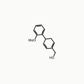 COc1ccccc1C1C=CC(CO)=CC1